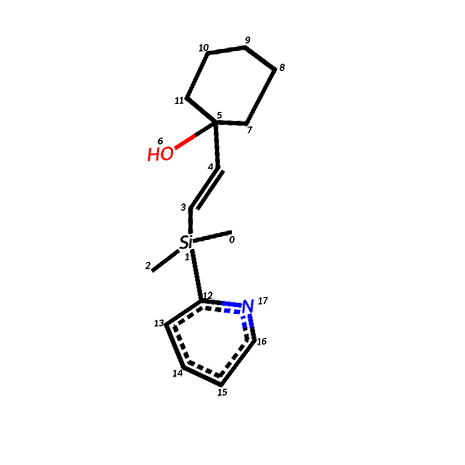 C[Si](C)(C=CC1(O)CCCCC1)c1ccccn1